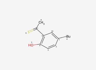 CCC(C)c1ccc(O)c(C(C)=S)c1